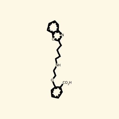 O=C(O)c1ccccc1OCCNCCCCc1nc2ccccc2o1